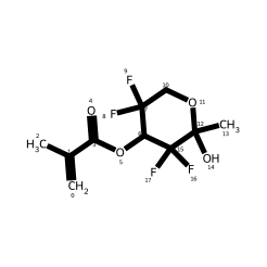 C=C(C)C(=O)OC1C(F)(F)COC(C)(O)C1(F)F